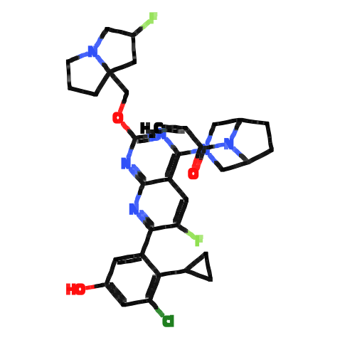 C=CC(=O)N1C2CCC1CN(c1nc(OCC34CCCN3CC(F)C4)nc3nc(-c4cc(O)cc(Cl)c4C4CC4)c(F)cc13)C2